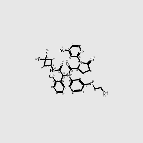 N#Cc1ccnc(N2C(=O)CCC2C(=O)N(c2cccc(OCCO)c2)[C@H](C(=O)NC2CC(F)(F)C2)c2ccccc2Cl)c1